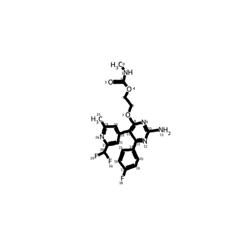 CNC(=O)OCCOc1nc(N)nc(-c2ccc(F)cc2)c1-c1cc(C)nc(C(F)F)c1